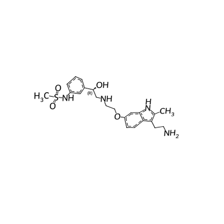 Cc1[nH]c2cc(OCCNC[C@H](O)c3cccc(NS(C)(=O)=O)c3)ccc2c1CCN